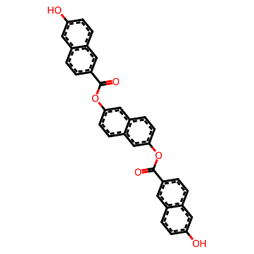 O=C(Oc1ccc2cc(OC(=O)c3ccc4cc(O)ccc4c3)ccc2c1)c1ccc2cc(O)ccc2c1